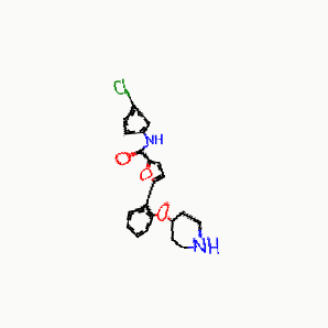 O=C(Nc1ccc(Cl)cc1)c1ccc(-c2ccccc2OC2CCNCC2)o1